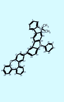 C[Si]1(C)c2ccccc2-c2cc3c4cc(-c5ccc6c(c5)-c5ccccc5-c5ccccc5O6)ccc4n(-c4ccccc4)c3cc21